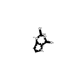 O=c1[nH]c(=O)c2sccc2o1